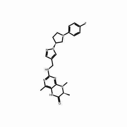 Cc1nc(NCc2cnn([C@H]3CCN(c4ccc(F)cc4)C3)c2)nc2c1NC(=O)[C@H](C)N2C